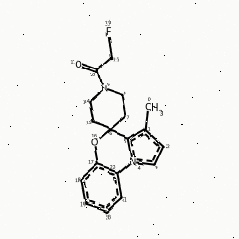 Cc1ccn2c1C1(CCN(C(=O)CF)CC1)Oc1ccccc1-2